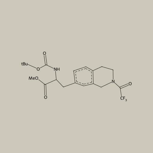 COC(=O)C(Cc1ccc2c(c1)CN(C(=O)C(F)(F)F)CC2)NC(=O)OC(C)(C)C